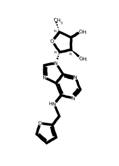 C[C@H]1O[C@@H](n2cnc3c(NCc4ccco4)ncnc32)[C@H](O)C1O